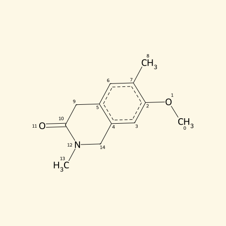 COc1cc2c(cc1C)CC(=O)N(C)C2